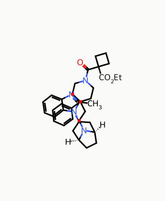 CCOC(=O)C1(C(=O)N2CCC(CCN3[C@@H]4CC[C@H]3C[C@@H](n3c(C)nc5ccccc53)C4)(c3ccccc3)CC2)CCC1